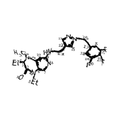 CCC1C(=O)N(CC)c2cnc(NCc3cnn(Cc4cc(F)c(F)c(F)c4)c3)cc2N1C